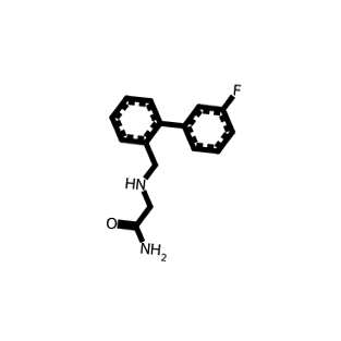 NC(=O)CNCc1ccccc1-c1cccc(F)c1